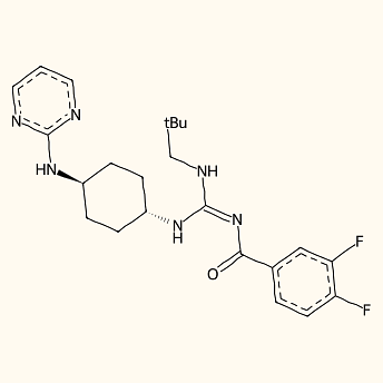 CC(C)(C)CN/C(=N/C(=O)c1ccc(F)c(F)c1)N[C@H]1CC[C@H](Nc2ncccn2)CC1